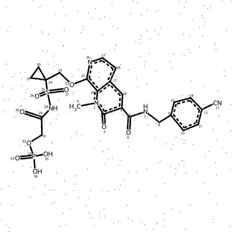 Cn1c(=O)c(C(=O)NCc2ccc(C#N)cc2)cc2ccnc(OCC3(S(=O)(=O)NC(=O)COP(=O)(O)O)CC3)c21